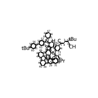 C#C/C(=C\C=C(/C)C1C=C=C(N(C(=C)/C=C\CCC)C2=c3c4c(sc3=CC3C2c2c(ccc5ccccc25)C32C3C=CC=CC3C3C=CC=CC32)C(N(c2ccc(-c3ccc(C(C)(C)C)cc3)cc2)C2C=CC=CC2)CC=C4)C=C1)C(C)(C)C